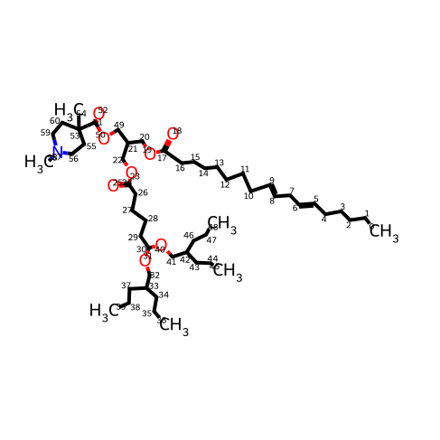 CCCCCC=CCC=CCCCCCCCC(=O)OCC(COC(=O)CCCCC(OCC(CCC)CCC)OCC(CCC)CCC)COC(=O)C1(C)CCN(C)CC1